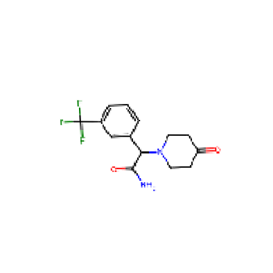 NC(=O)C(c1cccc(C(F)(F)F)c1)N1CCC(=O)CC1